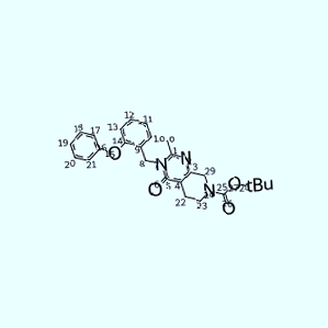 Cc1nc2c(c(=O)n1Cc1ccccc1Oc1ccccc1)CCN(C(=O)OC(C)(C)C)C2